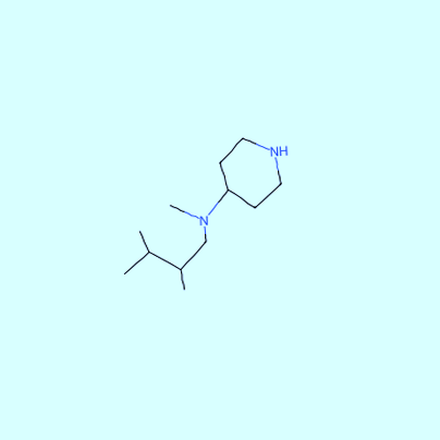 CC(C)C(C)CN(C)C1CCNCC1